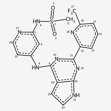 CS(=O)(=O)Nc1cc(Nc2nc(-c3cccc(C(F)(F)F)n3)nc3[nH]ccc23)ccn1